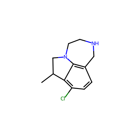 CC1CN2CCNCc3ccc(Cl)c1c32